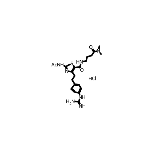 CC(=O)Nc1nc(CCc2ccc(NC(=N)N)cc2)c(C(=O)NCCCC(=O)N(C)C)s1.Cl